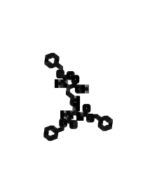 O=C(/N=C(\NCCC[C@@H](NC(=O)OCc1ccccc1)C(=O)O)NC(=O)OCc1ccccc1)OCc1ccccc1